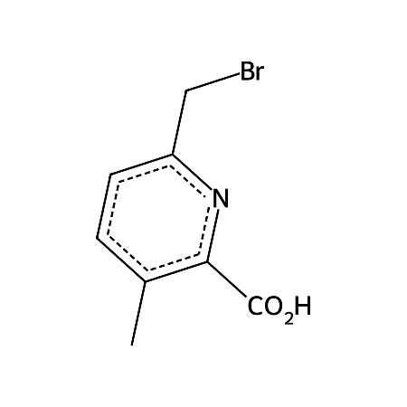 Cc1ccc(CBr)nc1C(=O)O